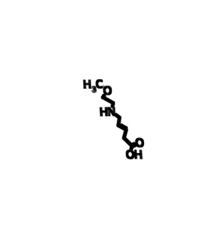 COCCNCC=CCC(=O)O